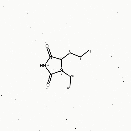 [CH2]CCC1C(=O)NC(=O)N1CC